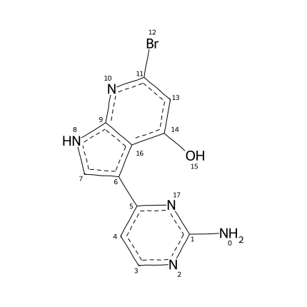 Nc1nccc(-c2c[nH]c3nc(Br)cc(O)c23)n1